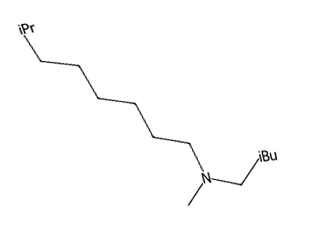 CCC(C)CN(C)CCCCCCC(C)C